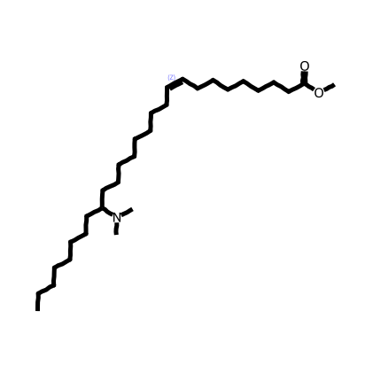 CCCCCCCCC(CCCCCCCC/C=C\CCCCCCCC(=O)OC)N(C)C